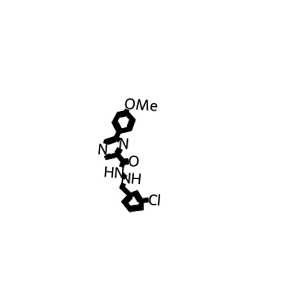 COc1ccc(-c2cncc(C(=O)NNCc3cccc(Cl)c3)n2)cc1